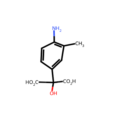 Cc1cc(C(O)(C(=O)O)C(=O)O)ccc1N